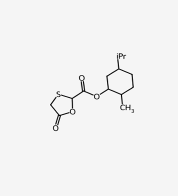 CC(C)C1CCC(C)C(OC(=O)C2OC(=O)CS2)C1